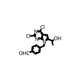 CC(O)c1cc2c(Cl)nc(Cl)nc2n1Cc1ccc(C=O)cc1